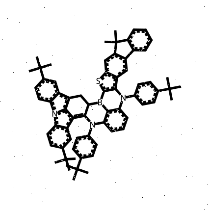 CC(C)(C)c1ccc(N2C3=c4c5cc(C(C)(C)C)ccc5n5c4c(c4cc(C(C)(C)C)ccc45)CC3B3c4sc5cc6c(cc5c4N(c4ccc(C(C)(C)C)cc4)c4cccc2c43)-c2ccccc2C6(C)C)cc1